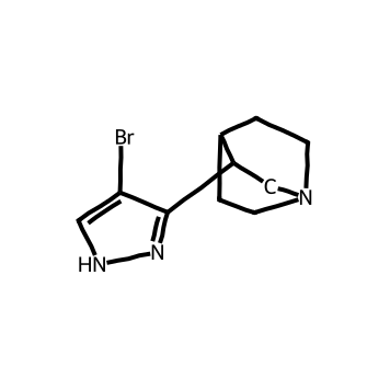 Brc1c[nH]nc1C1CN2CCC1CC2